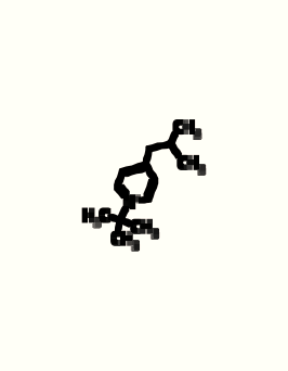 CC(C)Cc1cc[n+](C(C)(C)C)cc1